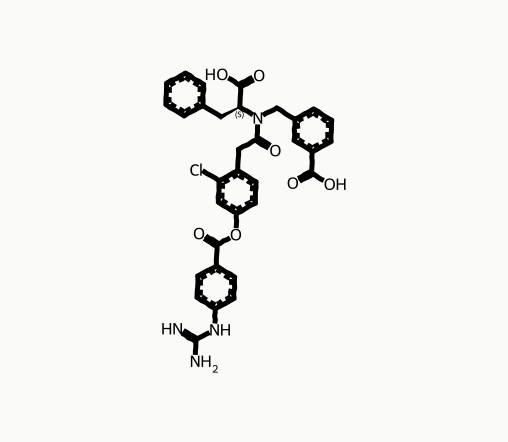 N=C(N)Nc1ccc(C(=O)Oc2ccc(CC(=O)N(Cc3cccc(C(=O)O)c3)[C@@H](Cc3ccccc3)C(=O)O)c(Cl)c2)cc1